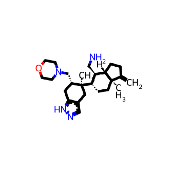 C=C1CC[C@H]2[C@H](CN)[C@@H]([C@@]3(C)Cc4cn[nH]c4C[C@@H]3CN3CCOCC3)CC[C@]12C